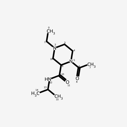 CCN1CCN(C(C)=O)C(C(=O)NC(C)C)C1